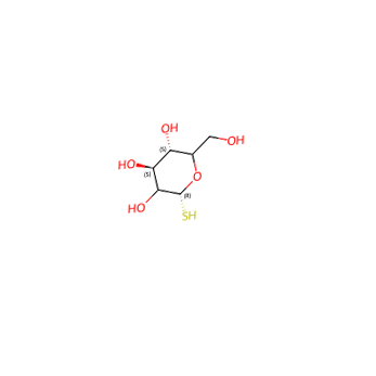 OCC1O[C@H](S)C(O)[C@@H](O)[C@@H]1O